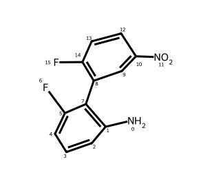 Nc1cccc(F)c1-c1cc([N+](=O)[O-])ccc1F